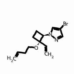 C=CCCO[C@]1(C=C)CC[C@H]1n1cc(Br)cn1